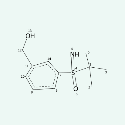 CC(C)(C)S(=N)(=O)c1cccc(CO)c1